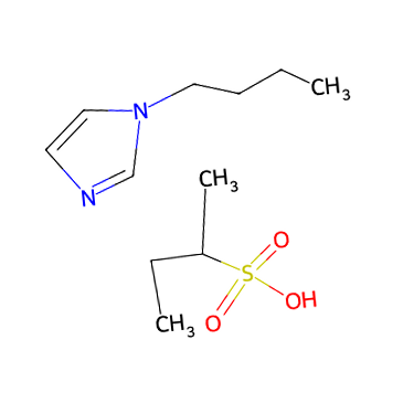 CCC(C)S(=O)(=O)O.CCCCn1ccnc1